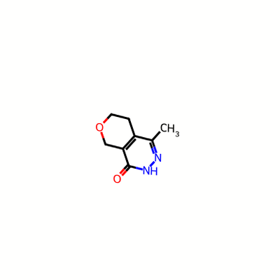 Cc1n[nH]c(=O)c2c1CCOC2